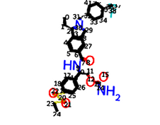 CC[C@@H]1c2ccc(C(=O)N[C@@H](COC(N)=O)c3ccc(S(=O)(=O)CC)cc3)cc2CN1C[C@H]1CC[C@H](C(F)(F)F)CC1